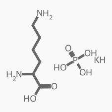 NCCCCC(N)C(=O)O.O=P(O)(O)O.[KH]